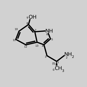 C[C@H](N)Cc1c[nH]c2c(O)cccc12